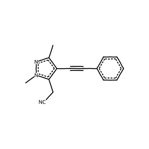 Cc1nn(C)c(CC#N)c1C#Cc1ccccc1